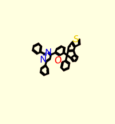 c1ccc(-c2cc(-c3cccc4c3Oc3ccccc3C43c4ccccc4-c4c3ccc3sccc43)nc(-c3ccccc3)n2)cc1